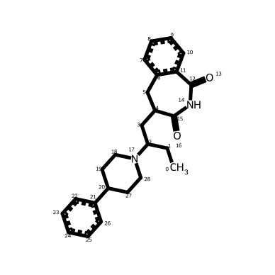 CCC(CC1Cc2ccccc2C(=O)NC1=O)N1CCC(c2ccccc2)CC1